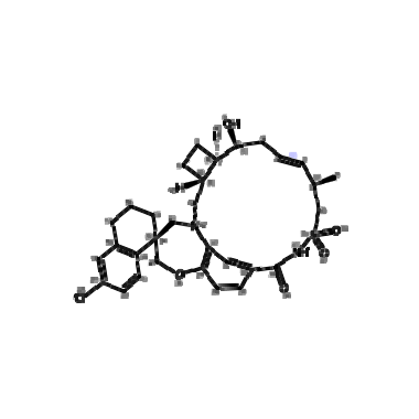 C[C@@H]1/C=C/C[C@H](O)[C@@H]2CC[C@H]2CN2C[C@@]3(CCCc4cc(Cl)ccc43)COc3ccc(cc32)C(=O)NS(=O)(=O)C1